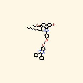 CCCCCCCCC(CCCCCC)Cn1c(-c2ccc(OCCOc3ccc4nc(-c5ccccc5)c(-c5ccccc5)nc4c3)cc2)nc2c3cc(Br)ccc3c3ccc(Br)cc3c21